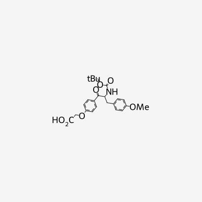 COc1ccc(CC(NC(=O)OC(C)(C)C)C(=O)c2ccc(OCC(=O)O)cc2)cc1